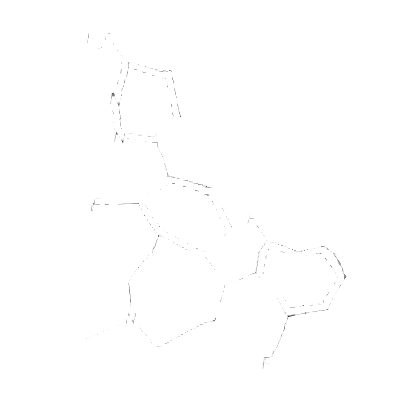 CN1CCC(c2c(F)cccc2F)c2ccc(-c3ccc(C(F)(F)F)nn3)c(F)c2C1